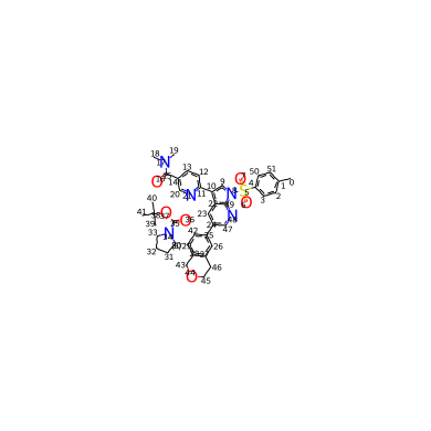 Cc1ccc(S(=O)(=O)n2cc(-c3ccc(C(=O)N(C)C)cn3)c3cc(-c4cc5c(c([C@@H]6CCCN6C(=O)OC(C)(C)C)c4)COCC5)cnc32)cc1